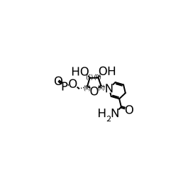 NC(=O)C1=CN([C@@H]2O[C@H](COP=O)[C@@H](O)[C@H]2O)C=CC1